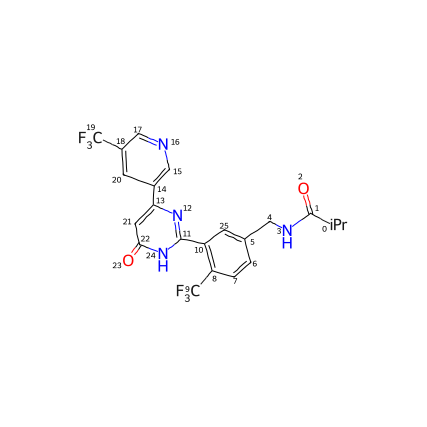 CC(C)C(=O)NCc1ccc(C(F)(F)F)c(-c2nc(-c3cncc(C(F)(F)F)c3)cc(=O)[nH]2)c1